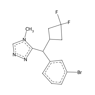 Cn1cnnc1C(c1cccc(Br)c1)C1CC(F)(F)C1